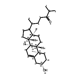 CC(C)C(=O)CCC(C)C1CC[C@H]2[C@@H]3CC=C4C[C@@H](O)CC[C@]4(C)[C@H]3CC[C@]12C